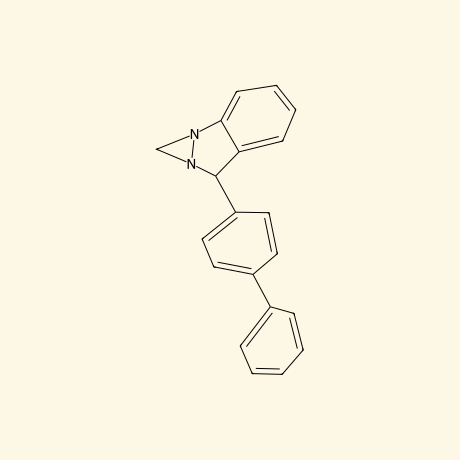 c1ccc(-c2ccc(C3c4ccccc4N4CN34)cc2)cc1